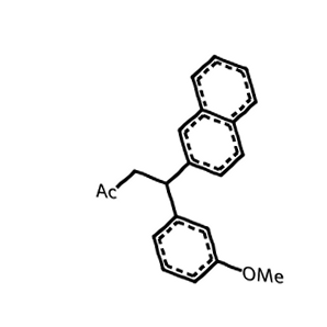 COc1cccc(C(CC(C)=O)c2ccc3ccccc3c2)c1